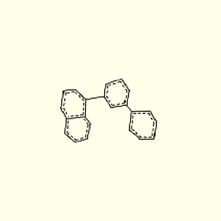 c1ccc(-c2cccc(-c3cccc4ccccc34)c2)cc1